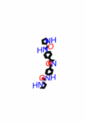 O=C(Nc1ccc(-c2cnc(-c3ccc(NC(=O)[C@@H]4CCCN4)cc3)o2)cc1)[C@@H]1CCCN1